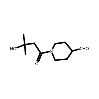 CC(C)(O)CC(=O)N1CCC(C=O)CC1